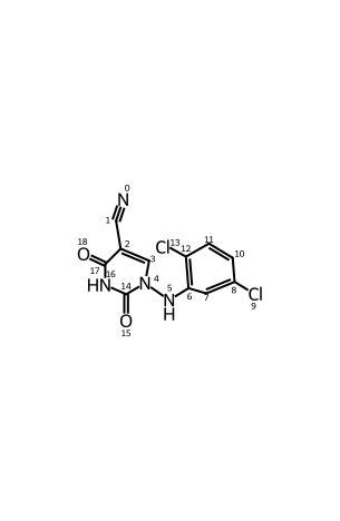 N#Cc1cn(Nc2cc(Cl)ccc2Cl)c(=O)[nH]c1=O